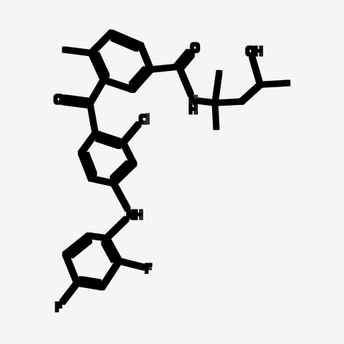 Cc1ccc(C(=O)NC(C)(C)CC(C)O)cc1C(=O)c1ccc(Nc2ccc(F)cc2F)cc1Cl